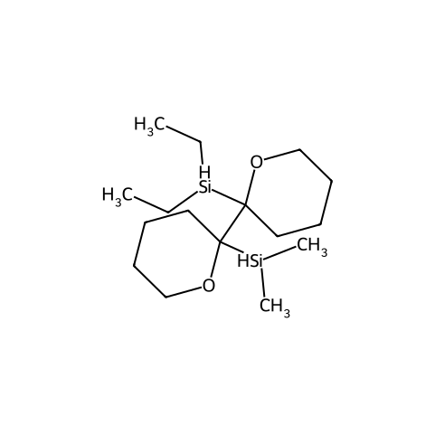 CC[SiH](CC)C1(C2([SiH](C)C)CCCCO2)CCCCO1